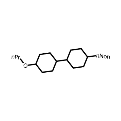 CCCCCCCCCC1CCC(C2CCC(OCCC)CC2)CC1